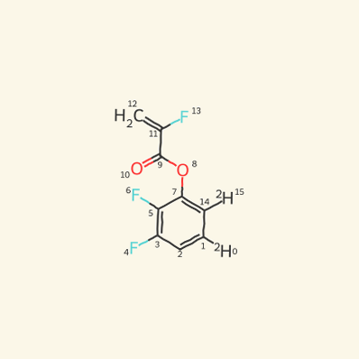 [2H]c1cc(F)c(F)c(OC(=O)C(=C)F)c1[2H]